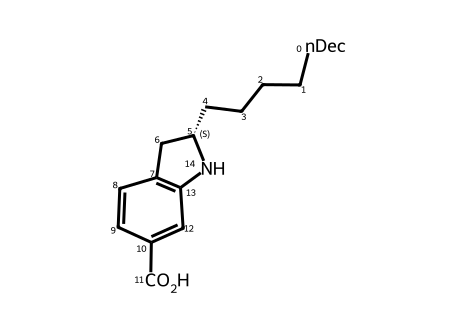 CCCCCCCCCCCCCC[C@H]1Cc2ccc(C(=O)O)cc2N1